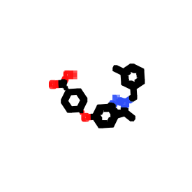 Cc1cccc(Cn2nc3cc(O[C@H]4CC[C@@H](C(=O)O)CC4)ccc3c2C)c1